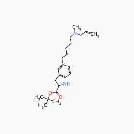 C=CCN(C)CCCCCc1ccc2c(c1)CC(C(=O)OC(C)(C)C)N2